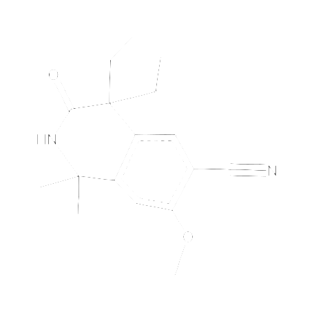 CCC1(CC)C(=O)NC(C)(C)c2cc(OC)c(C#N)cc21